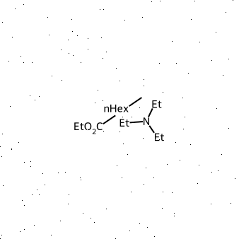 CCCCCCC.CCN(CC)CC.CCOC(C)=O